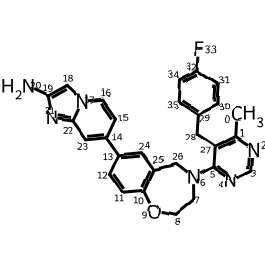 Cc1ncnc(N2CCOc3ccc(-c4ccn5cc(N)nc5c4)cc3C2)c1Cc1ccc(F)cc1